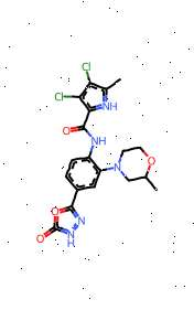 Cc1[nH]c(C(=O)Nc2ccc(-c3n[nH]c(=O)o3)cc2N2CCOC(C)C2)c(Cl)c1Cl